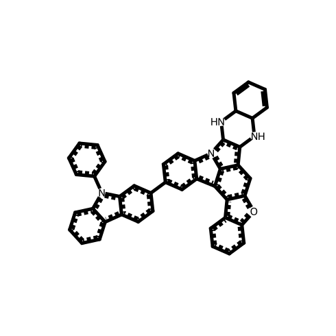 C1=CC2Nc3c(n4c5ccc(-c6ccc7c8ccccc8n(-c8ccccc8)c7c6)cc5c5c6c(cc3c54)oc3ccccc36)NC2C=C1